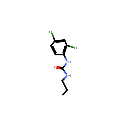 CCCNC(=O)Nc1ccc(Cl)cc1Cl